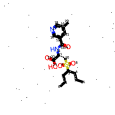 CCCC(CCC)S(=O)(=O)C[C@@H](NC(=O)c1cncc(C)c1)C(=O)O